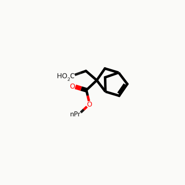 CCCOC(=O)C1(CC(=O)O)CC2C=CC1C2